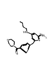 CCCCNc1cc(N)nc(Cc2ccc(C(=O)N3CCOCC3)cc2)c1